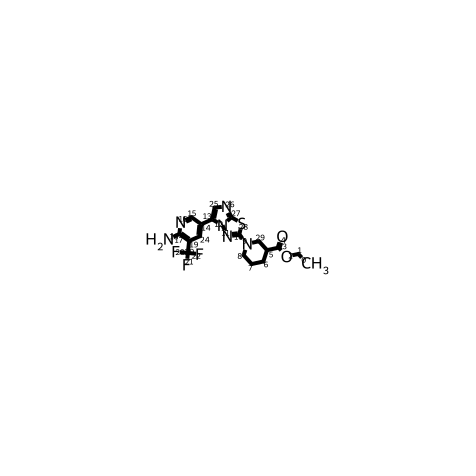 CCOC(=O)C1CCCN(c2nn3c(-c4cnc(N)c(C(F)(F)F)c4)cnc3s2)C1